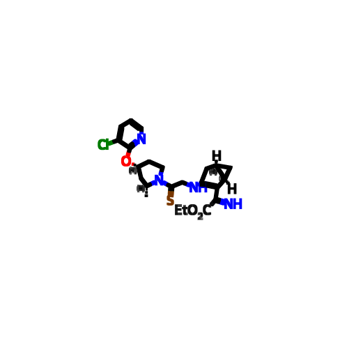 CCOC(=O)C(=N)C1=C(NCC(=S)N2CC[C@@H](Oc3ncccc3Cl)C[C@H]2C)C[C@H]2C[C@@H]12